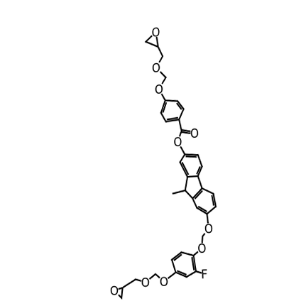 CC1c2cc(OCOc3ccc(OCOCC4CO4)cc3F)ccc2-c2ccc(OC(=O)c3ccc(OCOCC4CO4)cc3)cc21